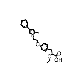 CCOC(Cc1ccc(OCCn2cc(-c3ccccc3)cc2C)cc1)C(=O)O